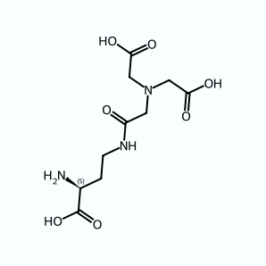 N[C@@H](CCNC(=O)CN(CC(=O)O)CC(=O)O)C(=O)O